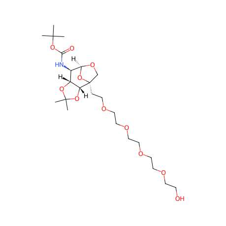 CC(C)(C)OC(=O)N[C@H]1[C@H]2OC[C@](CCOCCOCCOCCOCCO)(O2)[C@@H]2OC(C)(C)O[C@H]12